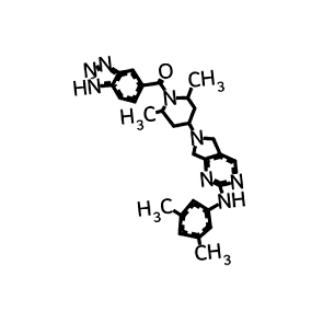 Cc1cc(C)cc(Nc2ncc3c(n2)CN(C2CC(C)N(C(=O)c4ccc5[nH]nnc5c4)C(C)C2)C3)c1